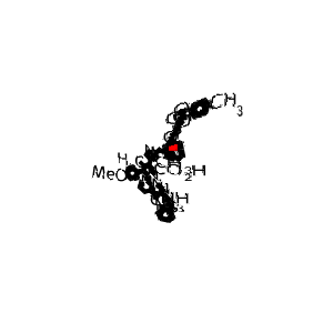 COc1ccc(-c2c(N3CCCc4c3nnc(Nc3nc5ccccc5s3)c4C)nc(C(=O)O)c(-c3cnn(CC45CC6CC(C4)CC(OCCOS(=O)(=O)c4ccc(C)cc4)(C6)C5)c3C)c2C)cc1